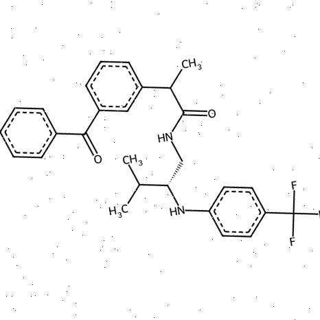 CC(C(=O)NC[C@H](Nc1ccc(C(F)(F)F)cc1)C(C)C)c1cccc(C(=O)c2ccccc2)c1